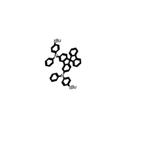 CC(C)(C)c1ccc(N(c2ccccc2)c2ccc3c(c2)-c2cc(N(c4ccccc4)c4ccc(C(C)(C)C)cc4)ccc2C32c3ccccc3-c3ccccc32)cc1